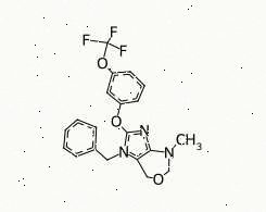 CN1COCc2c1nc(Oc1cccc(OC(F)(F)F)c1)n2Cc1ccccc1